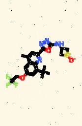 Cc1cc(-c2nnc(N[C@H]3C[S@+]([O-])C3)o2)nc2c(C(C)(C)C)cc(OCC(F)(F)F)cc12